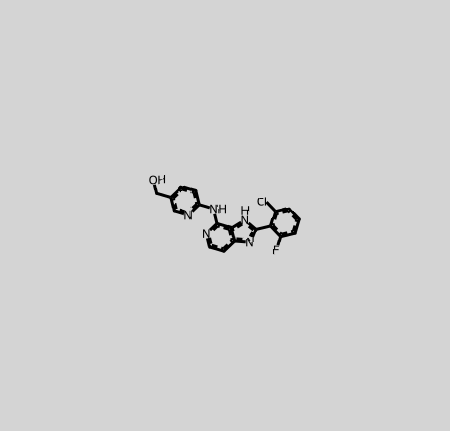 OCc1ccc(Nc2nccc3nc(-c4c(F)cccc4Cl)[nH]c23)nc1